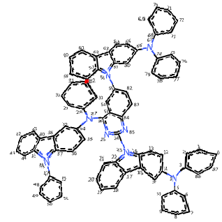 c1ccc(N(c2ccccc2)c2ccc3c(c2)c2ccccc2n3-c2nc(N(c3ccccc3)c3ccc4c(c3)c3ccccc3n4-c3ccccc3)c3cc(-n4c5ccccc5c5ccc(N(c6ccccc6)c6ccccc6)cc54)ccc3n2)cc1